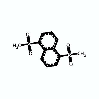 CS(=O)(=O)c1cccc2c(S(C)(=O)=O)cccc12